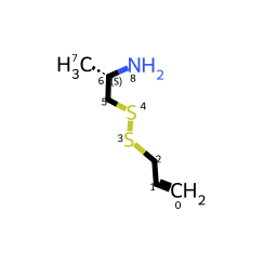 C=CCSSC[C@H](C)N